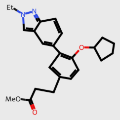 CCn1cc2cc(-c3cc(CCC(=O)OC)ccc3OC3CCCC3)ccc2n1